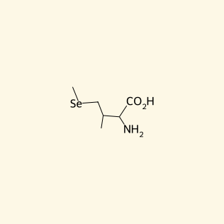 C[Se]CC(C)C(N)C(=O)O